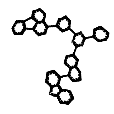 c1ccc(-c2nc(-c3cccc(-c4ccc5c6c(cccc46)-c4ccccc4-5)c3)nc(-c3ccc4c(-c5cccc6oc7ccccc7c56)cccc4c3)n2)cc1